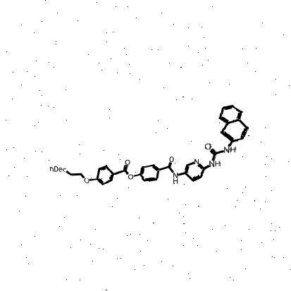 CCCCCCCCCCCCOc1ccc(C(=O)Oc2ccc(C(=O)Nc3ccc(NC(=O)Nc4ccc5ccccc5c4)nc3)cc2)cc1